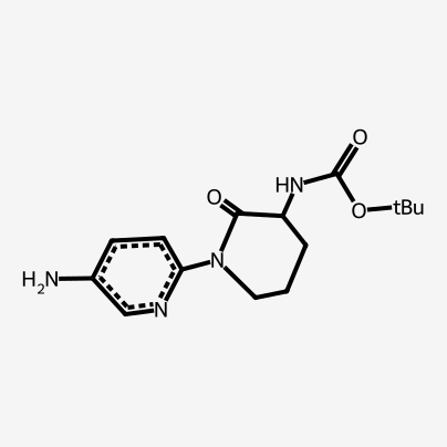 CC(C)(C)OC(=O)NC1CCCN(c2ccc(N)cn2)C1=O